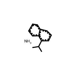 CC(C)c1cccc2ccccc12.N